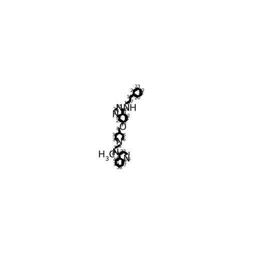 CN(CCN1CCC(COc2ccc3c(NCCCc4ccccc4)ncnc3c2)CC1)c1ccnc2ccccc12